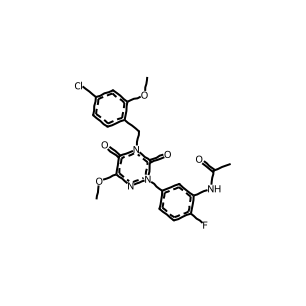 COc1cc(Cl)ccc1Cn1c(=O)c(OC)nn(-c2ccc(F)c(NC(C)=O)c2)c1=O